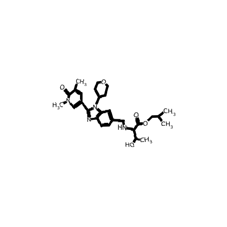 Cc1cc(-c2nc3ccc(CNC(C(=O)OCC(C)C)C(C)O)cc3n2C2CCOCC2)cn(C)c1=O